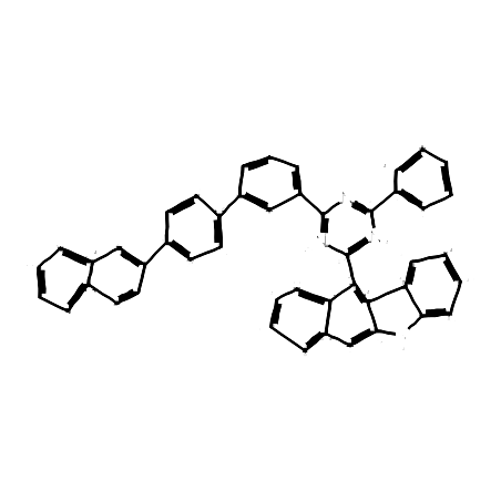 c1ccc(-c2nc(-c3cccc(-c4ccc(-c5ccc6ccccc6c5)cc4)c3)nc(-c3c4ccccc4cc4sc5ccccc5c34)n2)cc1